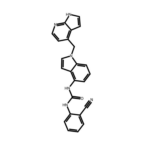 N#Cc1ccccc1NC(=O)Nc1cccc2c1ccn2Cc1ccnc2[nH]ccc12